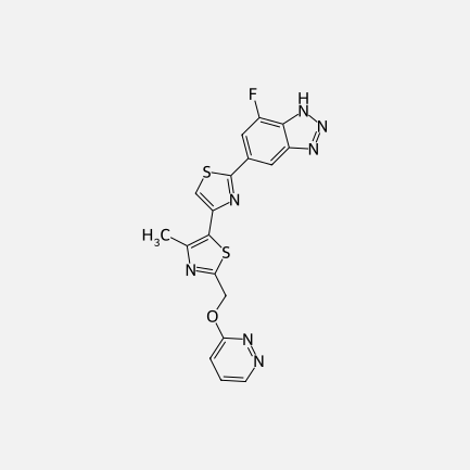 Cc1nc(COc2cccnn2)sc1-c1csc(-c2cc(F)c3[nH]nnc3c2)n1